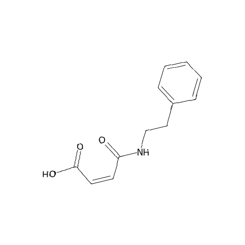 O=C(O)/C=C\C(=O)NCCc1ccccc1